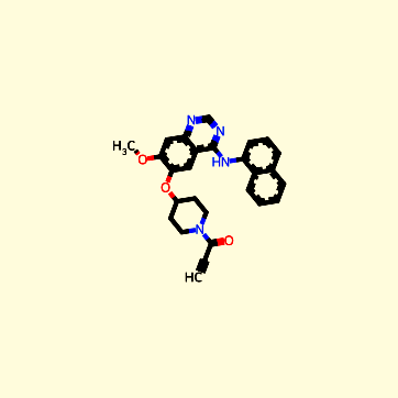 C#CC(=O)N1CCC(Oc2cc3c(Nc4cccc5ccccc45)ncnc3cc2OC)CC1